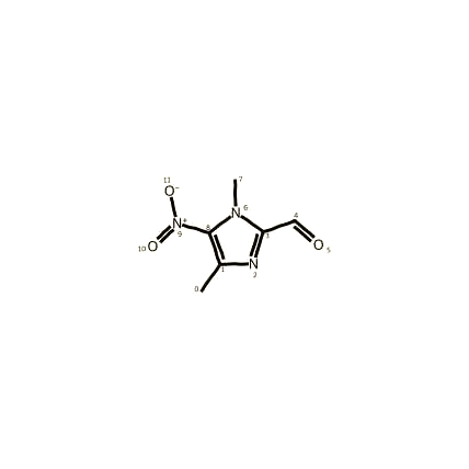 Cc1nc(C=O)n(C)c1[N+](=O)[O-]